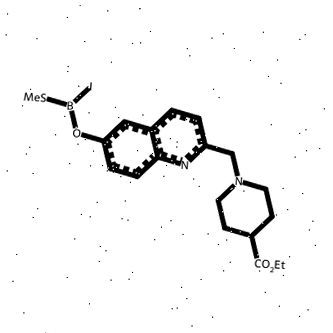 CCOC(=O)C1CCN(Cc2ccc3cc(OB(I)SC)ccc3n2)CC1